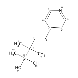 CC(C)(CCc1ccncc1)[Si](C)(C)O